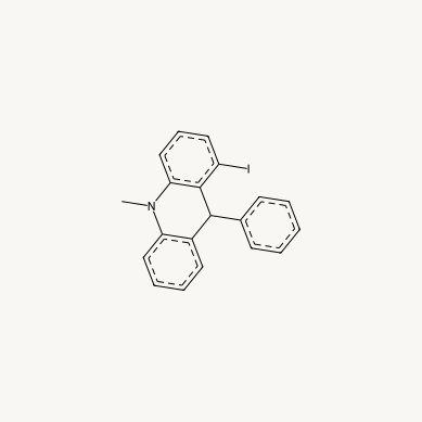 CN1c2ccccc2C(c2ccccc2)c2c(I)cccc21